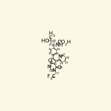 C[C@]1(O)C[C@](NC(=O)O)(c2ccc(-c3oc4ncn(CC(F)(F)F)c(=O)c4c3-c3ccccn3)cc2)C1